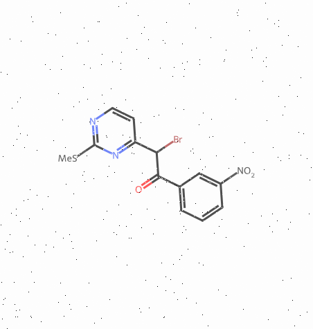 CSc1nccc(C(Br)C(=O)c2cccc([N+](=O)[O-])c2)n1